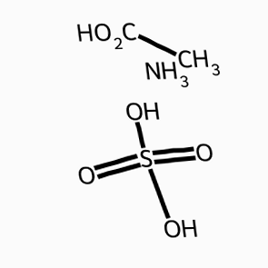 CC(=O)O.N.O=S(=O)(O)O